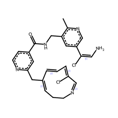 Cc1ncc(/C(Cl)=C\N)cc1CNC(=O)c1ccnc(CC2=C\CC\N=C/C(Cl)=C/C=C/2)c1